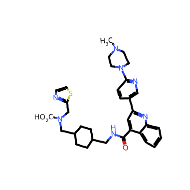 CN1CCN(c2ccc(-c3cc(C(=O)NCC4CCC(CN(Cc5nccs5)C(=O)O)CC4)c4ccccc4n3)cn2)CC1